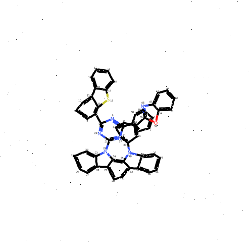 c1ccc(-c2nc(-c3cccc4c3sc3ccccc34)nc(-n3c4ccccc4c4ccc5c6ccccc6n(-c6cccc(-c7nc8ccccc8o7)c6)c5c43)n2)cc1